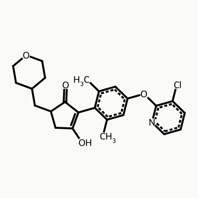 Cc1cc(Oc2ncccc2Cl)cc(C)c1C1=C(O)CC(CC2CCOCC2)C1=O